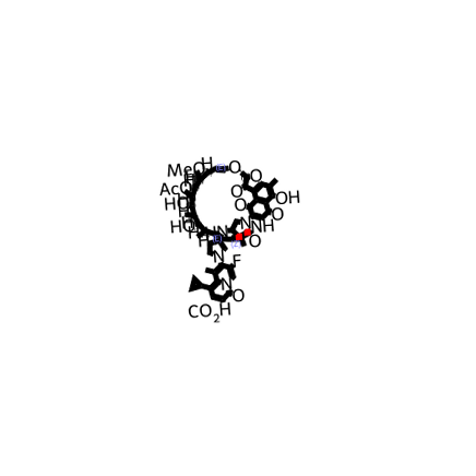 CO[C@H]1/C=C/O[C@@]2(C)Oc3c(C)c(O)c4c(c3C2=O)C(=O)C(N2CCC(N[C@H]3CCN(c5c(F)cn6c(=O)c(C(=O)O)cc(C7CC7)c6c5C)C3)C2)=C(NC(=O)/C(C)=C\C=C\[C@H](C)[C@H](O)[C@@H](C)[C@@H](O)[C@@H](C)[C@H](OC(C)=O)[C@@H]1C)C4=O